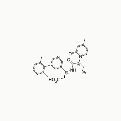 Cc1ccn([C@H](CC(C)C)C(=O)N[C@@H](CC(=O)O)c2cncc(-c3c(C)cccc3C)c2)c(=O)c1